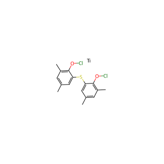 Cc1cc(C)c(OCl)c(Sc2cc(C)cc(C)c2OCl)c1.[Ti]